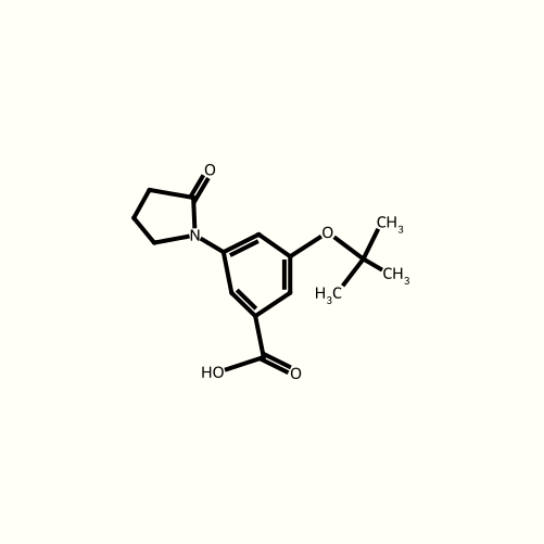 CC(C)(C)Oc1cc(C(=O)O)cc(N2CCCC2=O)c1